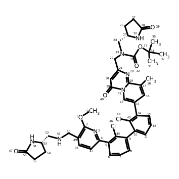 COc1nc(-c2cccc(-c3cccc(-c4cc(C)c5nc(CN(C[C@@H]6CCC(=O)N6)C(=O)OC(C)(C)C)cc(=O)n5c4)c3Cl)c2Cl)ccc1CNC[C@@H]1CCC(=O)N1